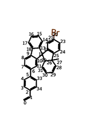 C=Cc1ccc(-c2ccc3c(c2)C2(c4ccccc4-3)c3cc(Br)ccc3C3(C)C=CC=CC32)cc1